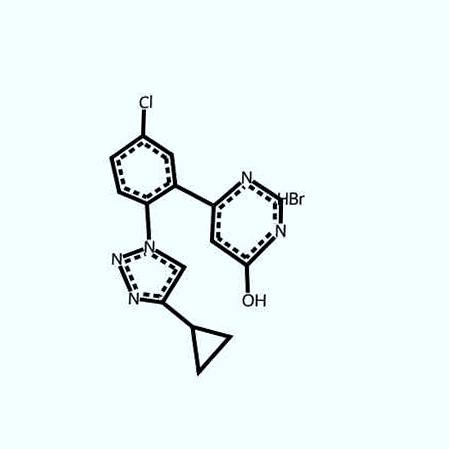 Br.Oc1cc(-c2cc(Cl)ccc2-n2cc(C3CC3)nn2)ncn1